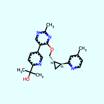 Cc1ccnc([C@H]2C[C@@H]2COc2nc(C)ncc2-c2ccc(C(C)(C)O)nc2)c1